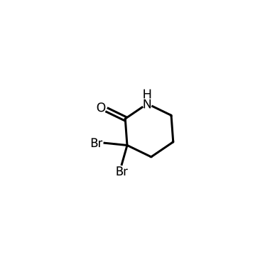 O=C1NCCCC1(Br)Br